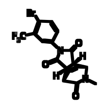 CN1C(=O)C2C=CC1[C@H]1C(=O)N(c3ccc(Br)c(C(F)(F)F)c3)C(=O)[C@@H]21